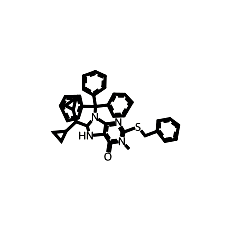 Cn1c(SCc2ccccc2)nc2c(c1=O)NC(C(C1CC1)C1CC1)N2C(c1ccccc1)(c1ccccc1)c1ccccc1